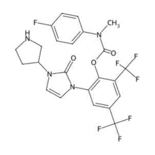 CN(C(=O)Oc1c(-n2ccn(C3CCNC3)c2=O)cc(C(F)(F)F)cc1C(F)(F)F)c1ccc(F)cc1